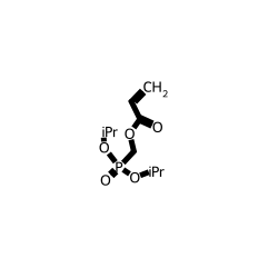 C=CC(=O)OCP(=O)(OC(C)C)OC(C)C